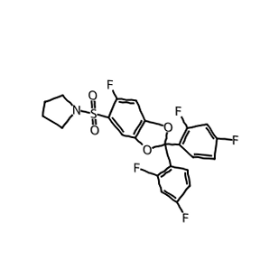 O=S(=O)(c1cc2c(cc1F)OC(c1ccc(F)cc1F)(c1ccc(F)cc1F)O2)N1CCCC1